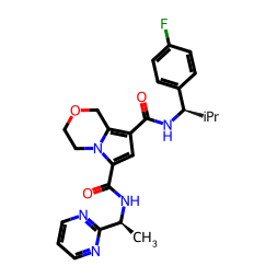 CC(C)[C@@H](NC(=O)c1cc(C(=O)N[C@@H](C)c2ncccn2)n2c1COCC2)c1ccc(F)cc1